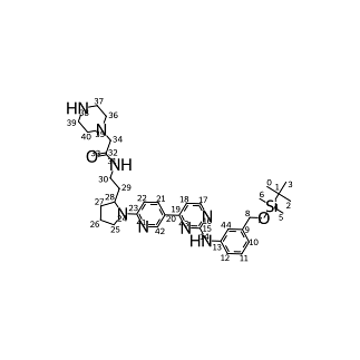 CC(C)(C)[Si](C)(C)OCc1cccc(Nc2nccc(-c3ccc(N4CCCC4CCNC(=O)CN4CCNCC4)nc3)n2)c1